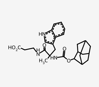 CC(Cc1c[nH]c2ccccc12)(NC(=O)OC1C2CC3CC(C2)CC1C3)C(=O)NCCC(=O)O